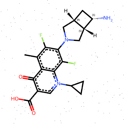 Cc1c(F)c(N2C[C@@H]3C[C@H](N)[C@@H]3C2)c(F)c2c1c(=O)c(C(=O)O)cn2C1CC1